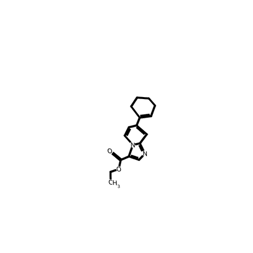 CCOC(=O)c1cnc2cc(C3=CCCCC3)ccn12